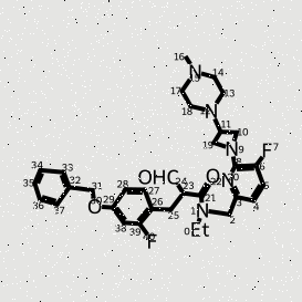 CCN(Cc1ccc(F)c(N2CC(N3CCN(C)CC3)C2)n1)C(=O)C(C=O)Cc1ccc(OCc2ccccc2)cc1F